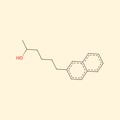 CC(O)CCCCc1ccc2ccccc2c1